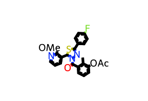 COc1ncccc1C1SC(c2ccc(F)cc2)=NN1C(=O)c1cccc(OC(C)=O)c1C